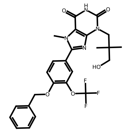 Cn1c(-c2ccc(OCc3ccccc3)c(OC(F)(F)F)c2)nc2c1c(=O)[nH]c(=O)n2CC(C)(C)CO